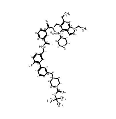 CCc1nc2c(cnn2CC)c(NC2CCOCC2)c1CN(C)C(=O)c1cccc(C(=O)NCc2ccc(F)c(-c3cccc(CN4CCN(C(=O)OC(C)(C)C)CC4)c3)c2)c1